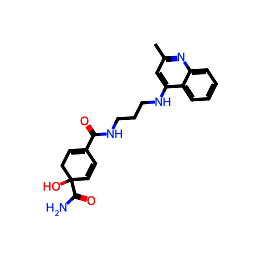 Cc1cc(NCCCNC(=O)C2=CCC(O)(C(N)=O)C=C2)c2ccccc2n1